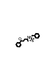 C/C(CCC(=O)c1ccccc1)=N\N(Cc1ccccc1)[Si](C)(C)C